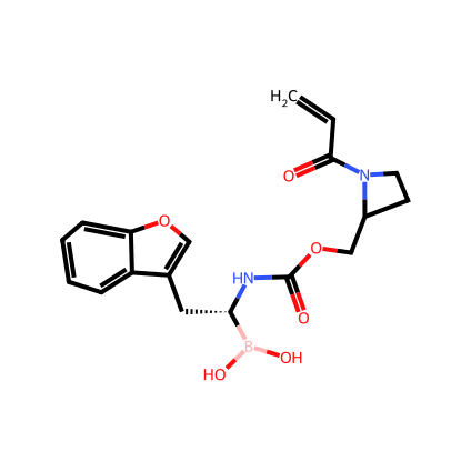 C=CC(=O)N1CCC1COC(=O)N[C@@H](Cc1coc2ccccc12)B(O)O